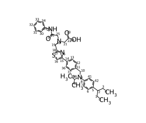 CCC(CC)c1ccc(N(Cc2ccc(-c3csc(CN(CC(=O)O)CC(=O)Nc4ccccc4)n3)cc2)C(C)C)cc1